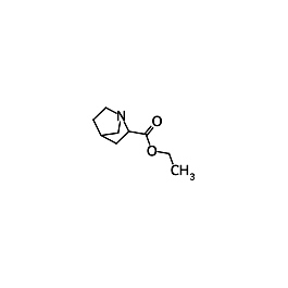 CCOC(=O)C1CC2CCN1C2